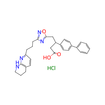 Cl.O=C(O)CC(Cc1nc(CCCc2ccc3c(n2)NCCC3)no1)c1ccc(-c2ccccc2)cc1